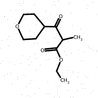 CCOC(=O)C(C)C(=O)C1CCOCC1